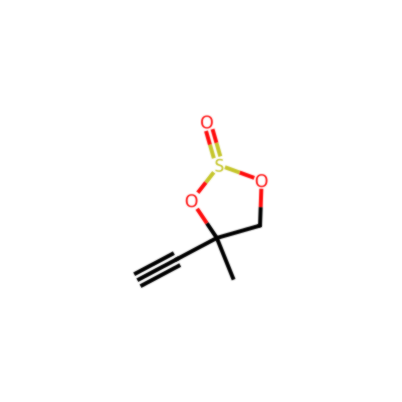 C#CC1(C)COS(=O)O1